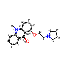 Cn1c2ccccc2c(=O)c2c(OCCN3CCCC3)cccc21